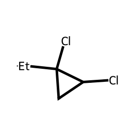 C[CH]C1(Cl)CC1Cl